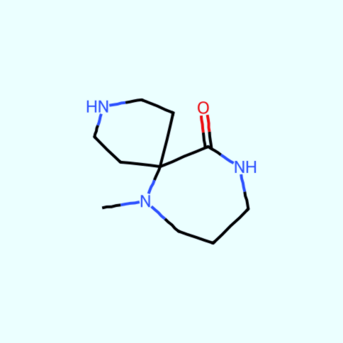 CN1CCCNC(=O)C12CCNCC2